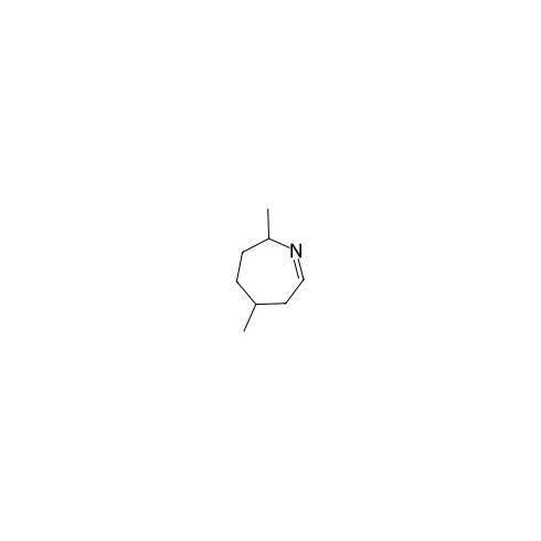 CC1CC=NC(C)CC1